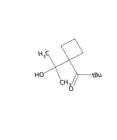 CC(C)(C)C(=O)C1(C(C)(C)O)CCC1